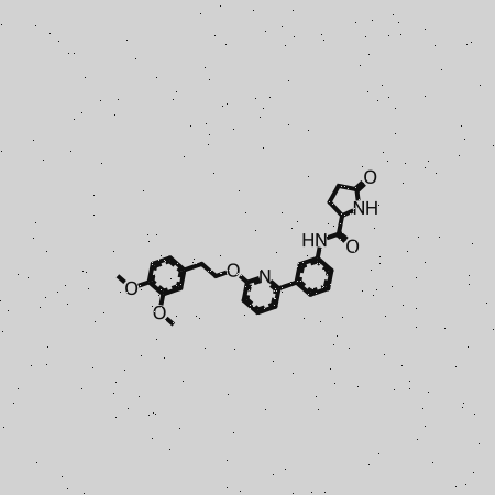 COc1ccc(CCOc2cccc(-c3cccc(NC(=O)C4CCC(=O)N4)c3)n2)cc1OC